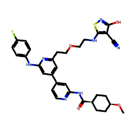 CO[C@H]1CC[C@@H](C(=O)Nc2cc(-c3cc(CCOCCNc4snc(O)c4C#N)nc(Nc4ccc(F)cc4)c3)ccn2)CC1